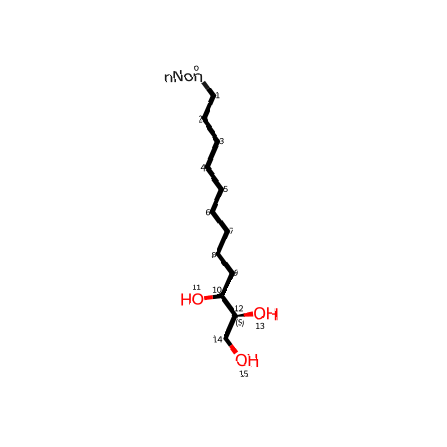 CCCCCCCCCCCCCCCCCCC(O)[C@@H](O)CO